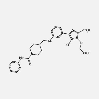 O=C(O)COc1c(C(=O)O)sc(-c2cccc(NCC3CCN(C(=O)Nc4ccccc4)CC3)c2)c1Cl